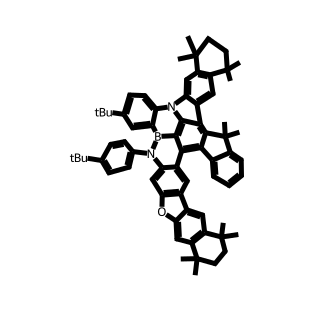 CC(C)(C)c1ccc(N2B3c4cc(C(C)(C)C)ccc4-n4c5cc6c(cc5c5c7c(c(c3c54)-c3cc4c(cc32)oc2cc3c(cc24)C(C)(C)CCC3(C)C)-c2ccccc2C7(C)C)C(C)(C)CCC6(C)C)cc1